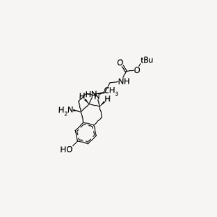 CN1CC[C@@]2(N)c3cc(O)ccc3C[C@@H]1[C@H]2NCCNC(=O)OC(C)(C)C